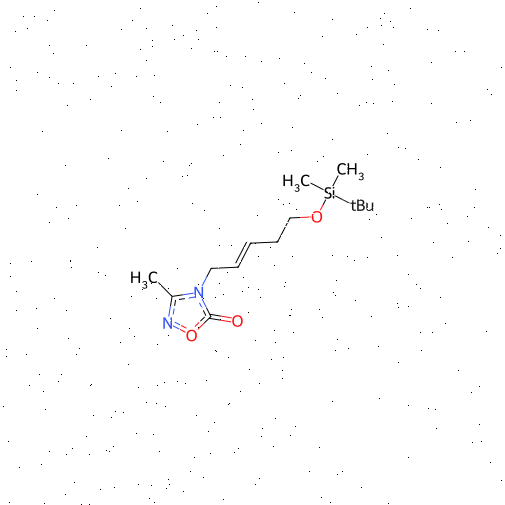 Cc1noc(=O)n1C/C=C/CCO[Si](C)(C)C(C)(C)C